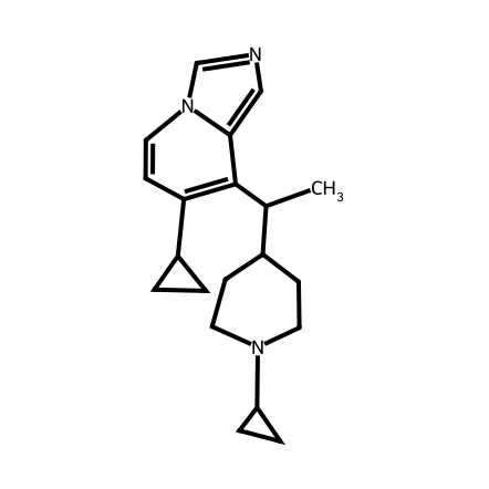 CC(c1c(C2CC2)ccn2cncc12)C1CCN(C2CC2)CC1